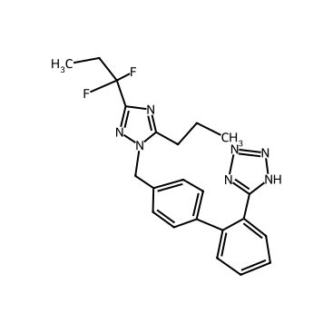 CCCc1nc(C(F)(F)CC)nn1Cc1ccc(-c2ccccc2-c2nnn[nH]2)cc1